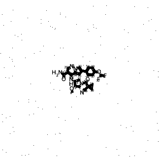 CO[C@H]1CN(C(=O)C2(C#N)CC2)C[C@H]1Nc1c(C(N)=O)cnn2cc(-c3ccc(OC(F)F)cc3)cc12